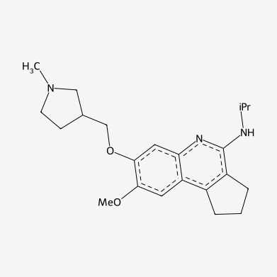 COc1cc2c3c(c(NC(C)C)nc2cc1OCC1CCN(C)C1)CCC3